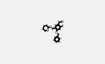 Fc1cc(OCc2ccccc2)c(COC2CCCCO2)cc1CBr